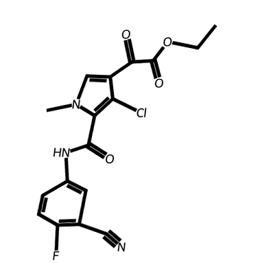 CCOC(=O)C(=O)c1cn(C)c(C(=O)Nc2ccc(F)c(C#N)c2)c1Cl